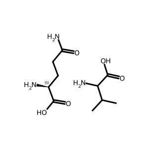 CC(C)C(N)C(=O)O.NC(=O)CC[C@H](N)C(=O)O